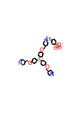 CCc1ccc(S(=O)(=O)[O-])cc1.c1cc(COc2ccc([S+](c3ccc(OCc4ccncc4)cc3)c3ccc(OCc4ccncc4)cc3)cc2)ccn1